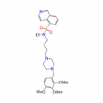 CCN(CCCCN1CCN(Cc2ccc(OC)c(OC)c2OC)CC1)S(=O)(=O)c1cccc2cnccc12